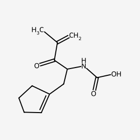 C=C(C)C(=O)C(CC1=CCCC1)NC(=O)O